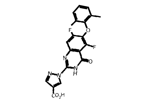 Cc1cccc(C)c1Oc1c(F)cc2nc(-n3cc(C(=O)O)cn3)[nH]c(=O)c2c1F